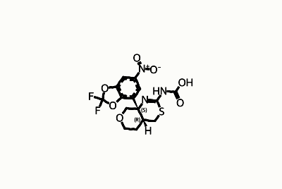 O=C(O)NC1=N[C@@]2(c3cc([N+](=O)[O-])cc4c3OC(F)(F)O4)COCC[C@H]2CS1